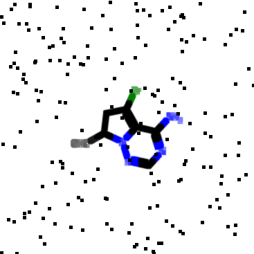 NC1=NC=NN2C1=C(Br)CC2C=O